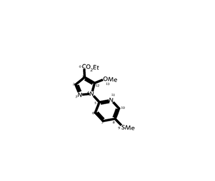 CCOC(=O)c1cnn(-c2ccc(SC)cn2)c1OC